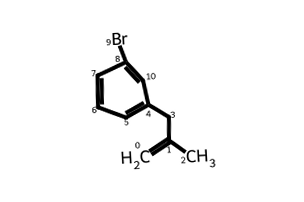 C=C(C)Cc1cccc(Br)c1